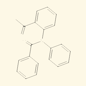 C=C(C)c1ccccc1N(C(=O)c1ccccc1)c1ccccc1